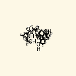 Cc1ccc(O)c2c1[C@]13CC4CN(C)[C@H]4[C@]1(O)CC=C(OC(=O)[C@H](C)OC(=O)[C@H](CC(C)C)NC(=O)[C@H](C)O)[C@@H]3O2